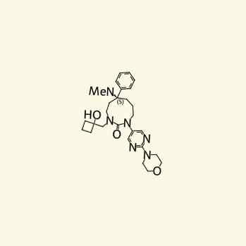 CN[C@@]1(c2ccccc2)CCCN(c2cnc(N3CCOCC3)nc2)C(=O)N(CC2(O)CCC2)CC1